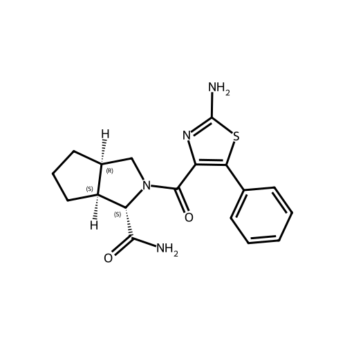 NC(=O)[C@@H]1[C@H]2CCC[C@H]2CN1C(=O)c1nc(N)sc1-c1ccccc1